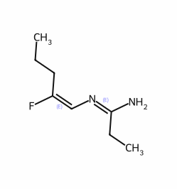 CCC/C(F)=C\N=C(\N)CC